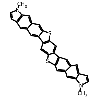 Cn1ccc2cc3cc4c(cc3cc21)sc1cc2c(cc14)sc1cc3cc4c(ccn4C)cc3cc12